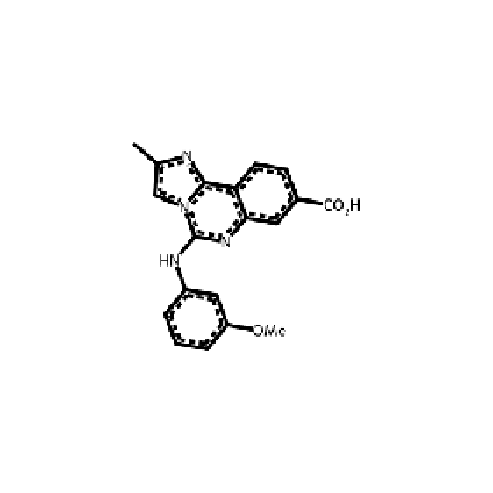 COc1cccc(Nc2nc3cc(C(=O)O)ccc3c3nc(C)cn23)c1